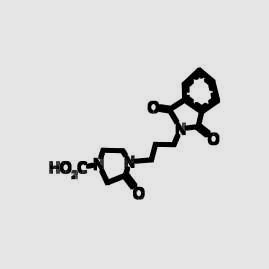 O=C(O)N1CCN(CCCN2C(=O)c3ccccc3C2=O)C(=O)C1